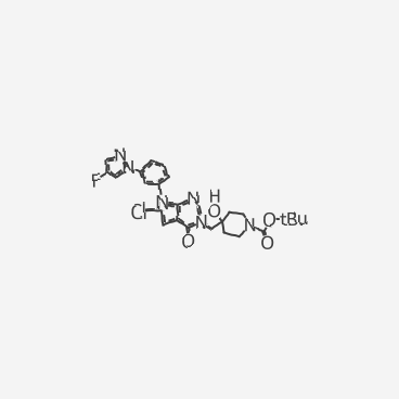 CC(C)(C)OC(=O)N1CCC(O)(Cn2cnc3c(cc(Cl)n3-c3cccc(-n4cc(F)cn4)c3)c2=O)CC1